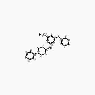 Cc1cc(Cc2ccccc2)nc(NC2CCN(c3ccncc3)CC2)n1